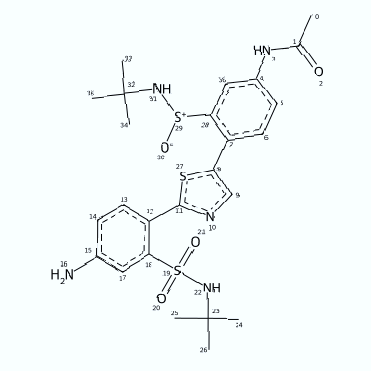 CC(=O)Nc1ccc(-c2cnc(-c3ccc(N)cc3S(=O)(=O)NC(C)(C)C)s2)c([S+]([O-])NC(C)(C)C)c1